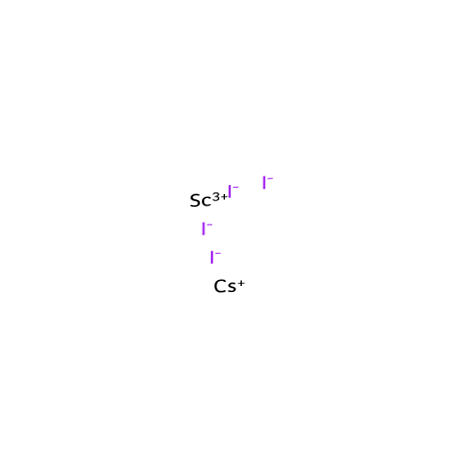 [Cs+].[I-].[I-].[I-].[I-].[Sc+3]